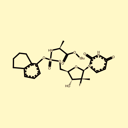 C[C@H](NP(=O)(OC[C@H]1O[C@@H](n2ccc(=O)[nH]c2=O)[C@](C)(F)[C@@H]1O)Oc1cccc2c1CCCC2)C(=O)OC(C)(C)C